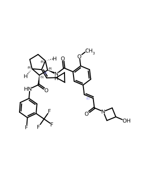 COc1ccc(/C=C/C(=O)N2CC(O)C2)cc1C(=O)N[C@H]1[C@@H](C(=O)Nc2ccc(F)c(C(F)(F)F)c2)[C@H]2CC[C@@H]1/C2=C\C1CC1